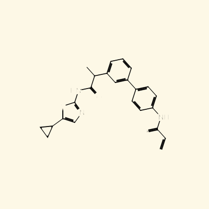 C=CC(=O)Nc1ccc(-c2cccc(C(C)C(=O)Nc3ncc(C4CC4)s3)c2)cc1